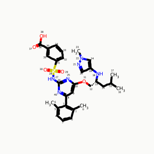 Cc1cccc(C)c1-c1cc(OC[C@@H](CC(C)C)Nc2cnn(C)c2)nc(NS(=O)(=O)c2cccc(C(=O)O)c2)n1